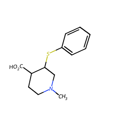 CN1CCC(C(=O)O)C(Sc2ccccc2)C1